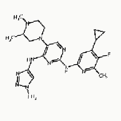 Cc1nc(Nc2ncc(N3CCN(C)C(C)C3)c(Nc3cn(C)nn3)n2)cc(C2CC2)c1F